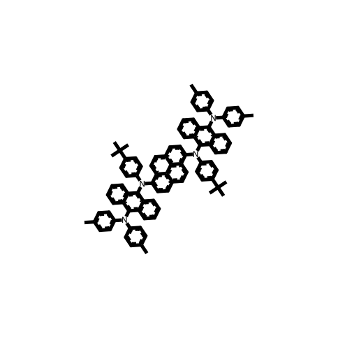 Cc1ccc(N(c2ccc(C)cc2)c2c3ccccc3c(N(c3ccc(C(C)(C)C)cc3)c3ccc4ccc5c(N(c6ccc(C(C)(C)C)cc6)c6c7ccccc7c(N(c7ccc(C)cc7)c7ccc(C)cc7)c7ccccc67)ccc6ccc3c4c65)c3ccccc23)cc1